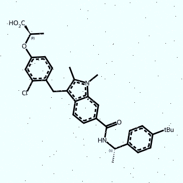 Cc1c(Cc2ccc(O[C@H](C)C(=O)O)cc2Cl)c2ccc(C(=O)N[C@@H](C)c3ccc(C(C)(C)C)cc3)cc2n1C